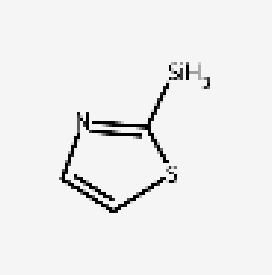 [SiH3]c1nccs1